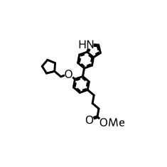 COC(=O)CCCc1ccc(OCC2CCCC2)c(-c2ccc3[nH]ccc3c2)c1